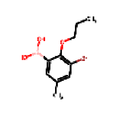 CCCOc1c(Br)cc(C)cc1B(O)O